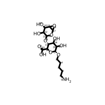 NCCCCCO[C@H]1OC(C(=O)O)[C@H](OC2OC3OC3C(O)C2O)C(O)C1O